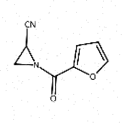 N#CC1CN1C(=O)c1ccco1